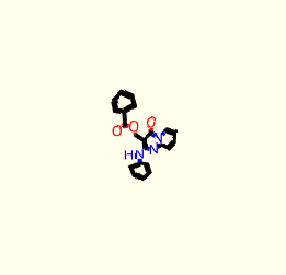 O=C(OCc1c(Nc2ccccc2)nc2ccccn2c1=O)c1ccccc1